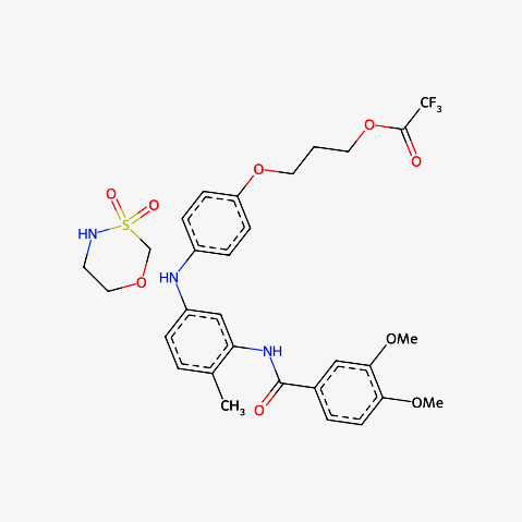 COc1ccc(C(=O)Nc2cc(Nc3ccc(OCCCOC(=O)C(F)(F)F)cc3)ccc2C)cc1OC.O=S1(=O)COCCN1